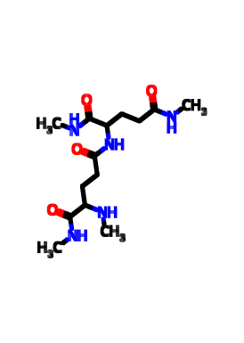 CNC(=O)CCC(NC(=O)CCC(NC)C(=O)NC)C(=O)NC